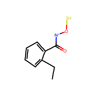 CCc1ccccc1C(=O)[N+]OS